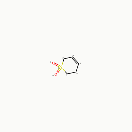 O=S1(=O)[C]C=CCC1